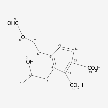 CC(O)Cc1c(CCOC=O)ccc(C(=O)O)c1C(=O)O